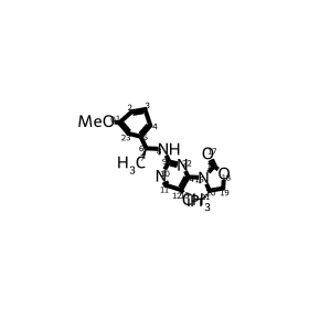 COc1cccc([C@H](C)Nc2ncc(C)c(N3C(=O)OC[C@@H]3C(C)C)n2)c1